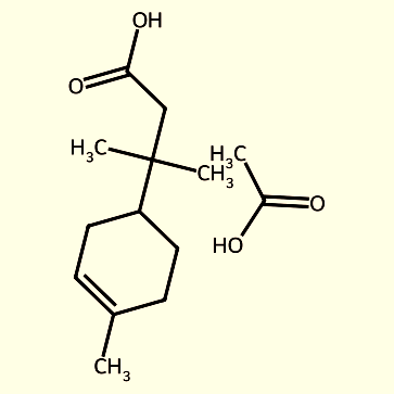 CC(=O)O.CC1=CCC(C(C)(C)CC(=O)O)CC1